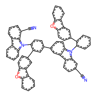 N#Cc1ccc2c3cc(-c4ccc(-n5c6ccccc6c6cccc(C#N)c65)c(-c5ccc6oc7ccccc7c6c5)c4)ccc3n(-c3ccccc3-c3ccc4oc5ccccc5c4c3)c2c1